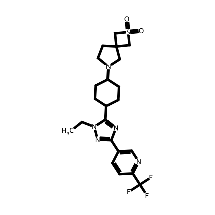 CCn1nc(-c2ccc(C(F)(F)F)nc2)nc1C1CCC(N2CCC3(C2)CS(=O)(=O)C3)CC1